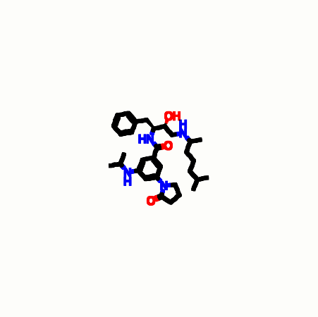 CC(C)CCCC(C)NC[C@@H](O)[C@H](Cc1ccccc1)NC(=O)c1cc(NC(C)C)cc(N2CCCC2=O)c1